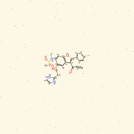 CNC(=O)c1c(-c2ccc(F)cc2)oc2cc(N(C)S(C)(=O)=O)c(OCc3ncc[nH]3)cc12